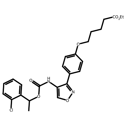 CCOC(=O)CCCCOc1ccc(-c2nocc2NC(=O)OC(C)c2ccccc2Cl)cc1